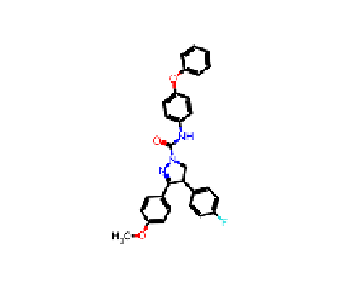 COc1ccc(C2=NN(C(=O)Nc3ccc(Oc4ccccc4)cc3)CC2c2ccc(F)cc2)cc1